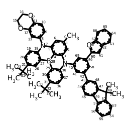 Cc1cc2c3c(c1)N(c1ccc4c(c1)OCCO4)c1ccc(C(C)(C)C)cc1B3c1cc(C(C)(C)C)ccc1N2c1cc(-c2ccc3c(c2)C(C)(C)c2ccccc2-3)cc(-c2cc3ccccc3o2)c1